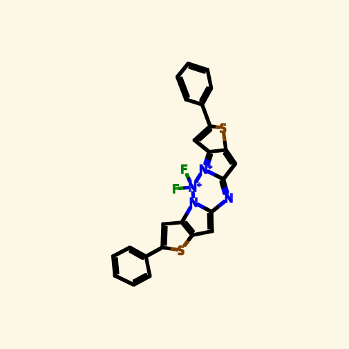 F[N+]1(F)n2c(cc3sc(-c4ccccc4)cc32)N=C2C=c3sc(-c4ccccc4)cc3=[N+]21